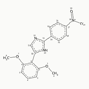 COc1cccc(OC)c1-c1cnc(-c2ccc([N+](=O)[O-])cc2)[nH]1